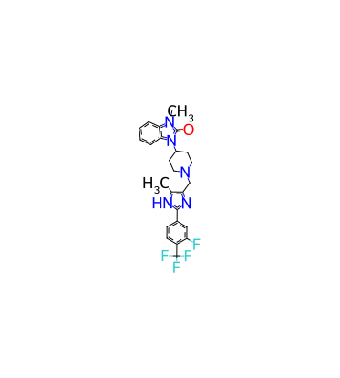 Cc1[nH]c(-c2ccc(C(F)(F)F)c(F)c2)nc1CN1CCC(n2c(=O)n(C)c3ccccc32)CC1